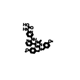 COc1ccc(CN(Cc2ccc(OC)cc2)c2nc(C)nc(-c3cccnc3Nc3ccc(NC(=O)O)nc3)n2)cc1